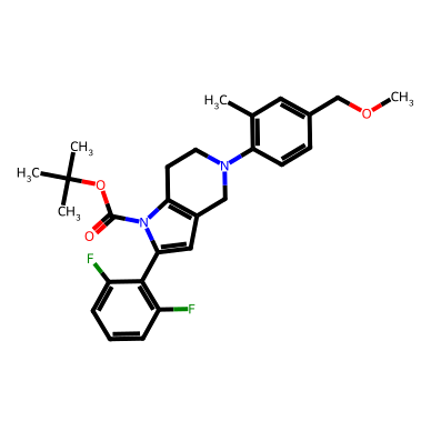 COCc1ccc(N2CCc3c(cc(-c4c(F)cccc4F)n3C(=O)OC(C)(C)C)C2)c(C)c1